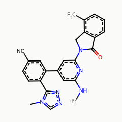 CC(C)Nc1cc(-c2cc(C#N)ccc2-c2nncn2C)cc(N2Cc3c(cccc3C(F)(F)F)C2=O)n1